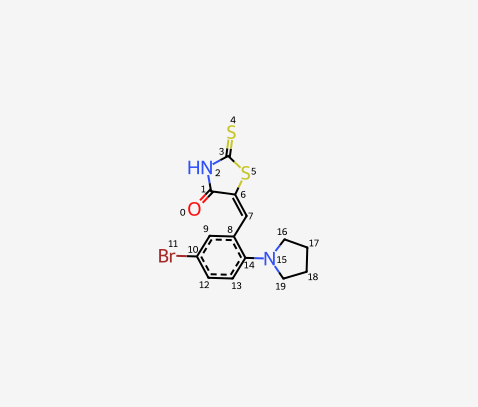 O=C1NC(=S)SC1=Cc1cc(Br)ccc1N1CCCC1